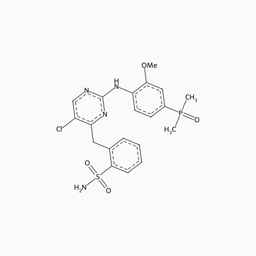 COc1cc(P(C)(C)=O)ccc1Nc1ncc(Cl)c(Cc2ccccc2S(N)(=O)=O)n1